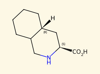 O=C(O)[C@@H]1C[C@H]2CCCCC2CN1